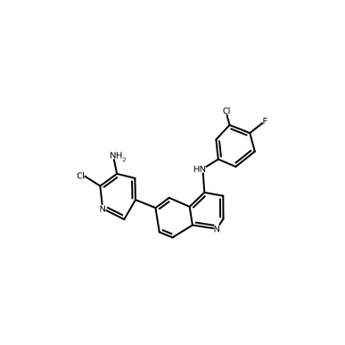 Nc1cc(-c2ccc3nccc(Nc4ccc(F)c(Cl)c4)c3c2)cnc1Cl